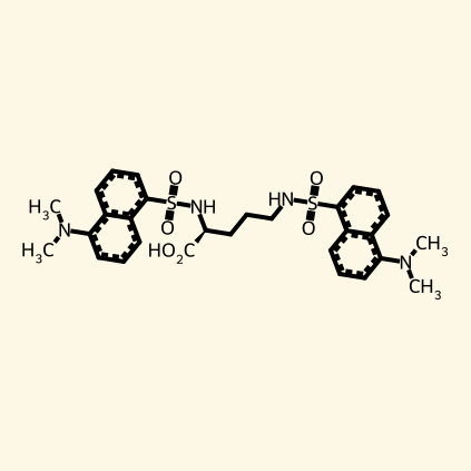 CN(C)c1cccc2c(S(=O)(=O)NCCC[C@H](NS(=O)(=O)c3cccc4c(N(C)C)cccc34)C(=O)O)cccc12